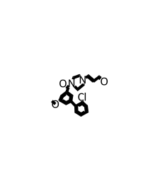 COc1cc(C(=O)N2CCN(C=CC=O)CC2)cc(-c2ccccc2Cl)c1